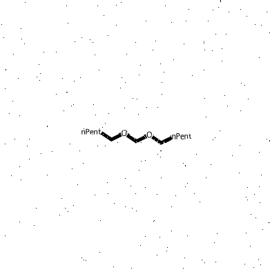 CCCCCCO[CH]OCCCCCC